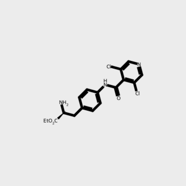 CCOC(=O)[C@@H](N)Cc1ccc(NC(=O)c2c(Cl)cncc2Cl)cc1